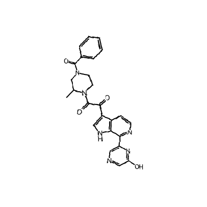 CC1CN(C(=O)c2ccccc2)CCN1C(=O)C(=O)c1c[nH]c2c(-c3cncc(O)n3)nccc12